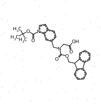 CC(C)(C)OC(=O)n1ccc2ccc(CN(CC(=O)O)C(=O)OCC3c4ccccc4-c4ccccc43)cc21